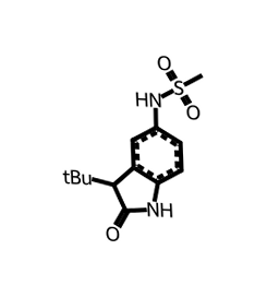 CC(C)(C)C1C(=O)Nc2ccc(NS(C)(=O)=O)cc21